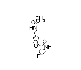 COC(=O)CNCCc1ccc2c(c1)CO/C2=C1/C(=O)Nc2ccc(F)cc21